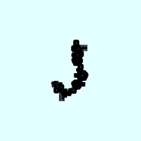 Cc1cc(OCCC(C)(C)NC(=O)OC(C)(C)C)ccc1-c1cccc(COc2ccc(Cn3oc(=O)[nH]c3=O)cc2)c1C